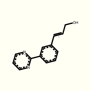 OC/C=C/c1cccc(-c2ncccn2)c1